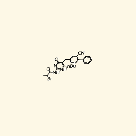 CCCCc1[nH]c(NC(=O)C(C)Br)nc(=O)c1Cc1ccc(-c2ccccc2)c(C#N)c1